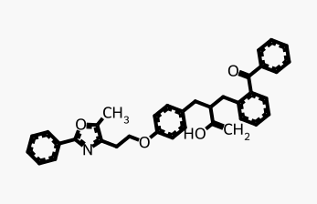 C=C(O)C(Cc1ccc(OCCc2nc(-c3ccccc3)oc2C)cc1)Cc1ccccc1C(=O)c1ccccc1